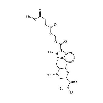 CCN(CC)C(=O)C1C=C2c3cccc4c3c(c(Br)n4C(=O)OCOC(=O)CCC(=O)OC(C)(C)C)CC2N(C)C1